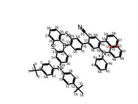 CC(C)(C)c1ccc(N(c2ccc(C(C)(C)C)cc2)c2ccc3c(c2)Sc2cccc4c2B3c2ccc(-c3cc(N(c5ccccc5)c5ccccc5)c(-c5ccccc5)cc3C#N)cc2S4)cc1